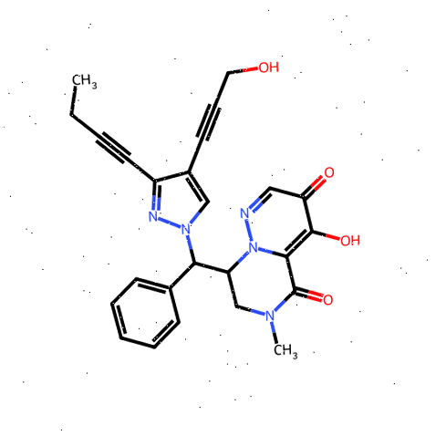 CCC#Cc1nn(C(c2ccccc2)C2CN(C)C(=O)c3c(O)c(=O)cnn32)cc1C#CCO